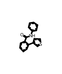 O=C(Nc1ccccc1)c1ccccc1-c1ccsc1